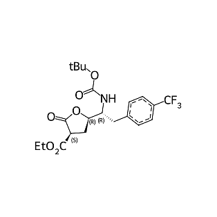 CCOC(=O)[C@@H]1C[C@H]([C@@H](Cc2ccc(C(F)(F)F)cc2)NC(=O)OC(C)(C)C)OC1=O